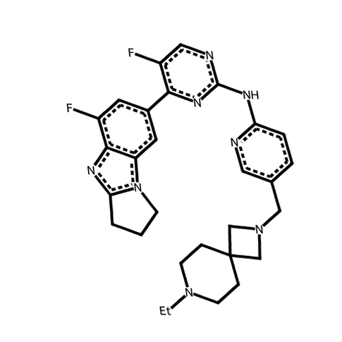 CCN1CCC2(CC1)CN(Cc1ccc(Nc3ncc(F)c(-c4cc(F)c5nc6n(c5c4)CCC6)n3)nc1)C2